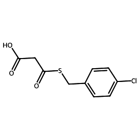 O=C(O)CC(=O)SCc1ccc(Cl)cc1